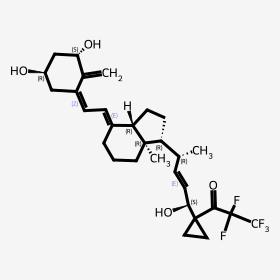 C=C1/C(=C\C=C2/CCC[C@]3(C)[C@@H]([C@H](C)/C=C/[C@H](O)C4(C(=O)C(F)(F)C(F)(F)F)CC4)CC[C@@H]23)C[C@@H](O)C[C@@H]1O